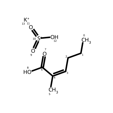 CCCC=C(C)C(=O)O.O=[S-](=O)O.[K+]